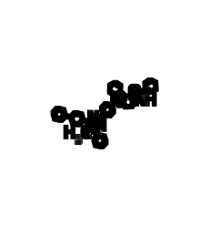 CN1C(C2C=CC(c3ccccc3)CC2)=NC(c2ccc(N3C4=C(C5=C(CC4)NC(C4=CCCC=C4)O5)C4C=CCCC43)cc2)=NC1c1ccccc1